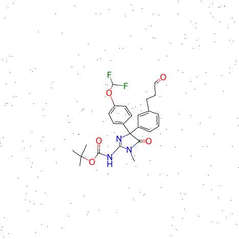 CN1C(=O)C(c2ccc(OC(F)F)cc2)(c2cccc(CCC=O)c2)N=C1NC(=O)OC(C)(C)C